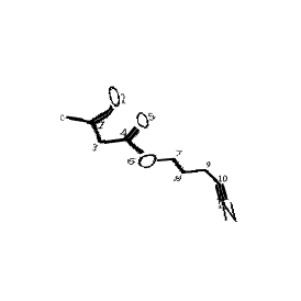 CC(=O)CC(=O)OCCCC#N